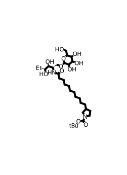 CC[C@@H](O)[C@@H](O)[C@H](COC1OC(CO)C(O)C(O)C1O)NC(=O)CCCCCCCCCCC1CCN(C(=O)OC(C)(C)C)C1